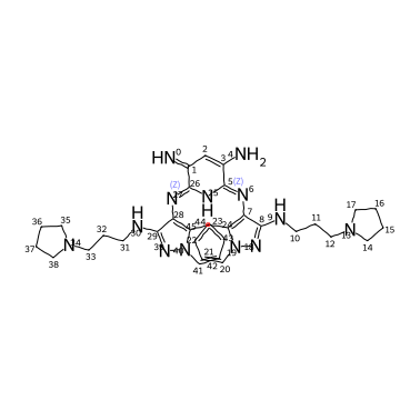 N=C1C=C(N)/C(=N/c2c(NCCCN3CCCC3)nn3ccccc23)N/C1=N\c1c(NCCCN2CCCC2)nn2ccccc12